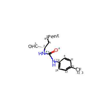 CCCC(C)C[C@@H](C=O)NC(=O)Nc1ccc(C(F)(F)F)cc1